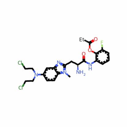 CCC(=O)Oc1c(F)cccc1NC(=O)[C@@H](N)Cc1nc2cc(N(CCCl)CCCl)ccc2n1C